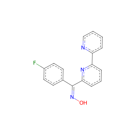 O/N=C(/c1ccc(F)cc1)c1cccc(-c2ccccn2)n1